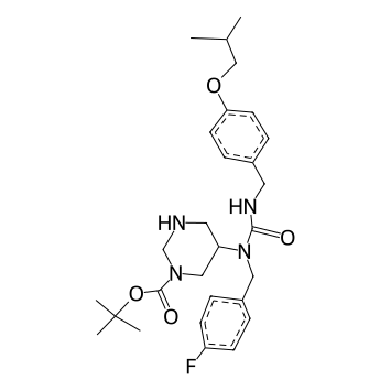 CC(C)COc1ccc(CNC(=O)N(Cc2ccc(F)cc2)C2CNCN(C(=O)OC(C)(C)C)C2)cc1